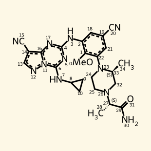 COc1c(Nc2nc(NC3CC3)n3ncc(C#N)c3n2)cc(C#N)cc1N1CCN([C@@H](C)C(N)=O)C[C@@H]1C